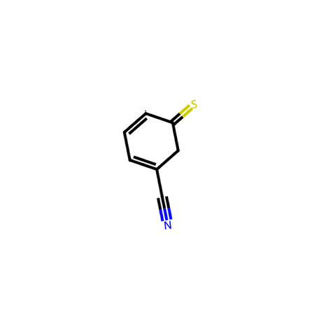 N#CC1=CC=[C]C(=S)C1